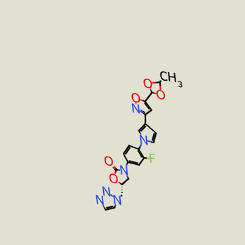 CC1OC(c2cc(-c3ccn(-c4ccc(N5C[C@H](Cn6ccnn6)OC5=O)cc4F)c3)no2)O1